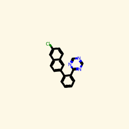 Clc1ccc2cc(-c3ccccc3-c3ncncn3)ccc2c1